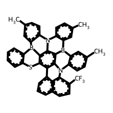 Cc1ccc2c(c1)B1c3ccccc3Sc3c1c1c4c(c3-c3ccccc3)N(c3ccccc3C(F)(F)F)c3ccc(C)cc3B4c3cc(C)ccc3N21